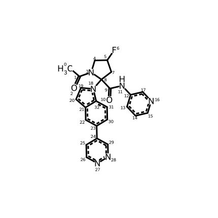 CC(=O)N1CC(F)CC1(C(=O)Nc1cccnc1)n1ccc2cc(-c3ccnnc3)ccc21